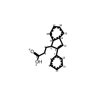 O=C(O)CCC1C(c2ccccc2)=Cc2ccccc21